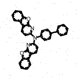 c1ccc(-c2ccc(N(c3ccc4c(n3)oc3ccccc34)c3ccc4c(n3)oc3ccccc34)cc2)cc1